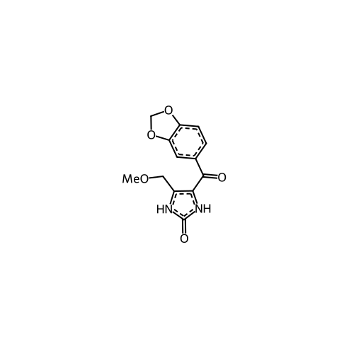 COCc1[nH]c(=O)[nH]c1C(=O)c1ccc2c(c1)OCO2